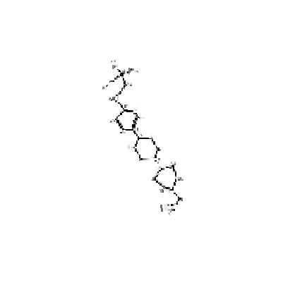 CC[C@H]1CC[C@H](C2CCC(C3=CCC(OCC(F)(F)F)C=C3)CC2)CC1